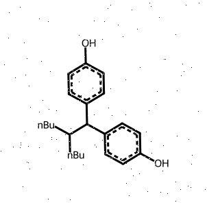 CCCCC(CCCC)C(c1ccc(O)cc1)c1ccc(O)cc1